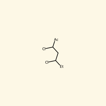 CCC(Cl)CC(Cl)C(C)=O